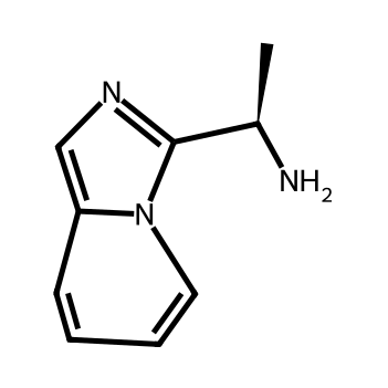 C[C@@H](N)c1ncc2ccccn12